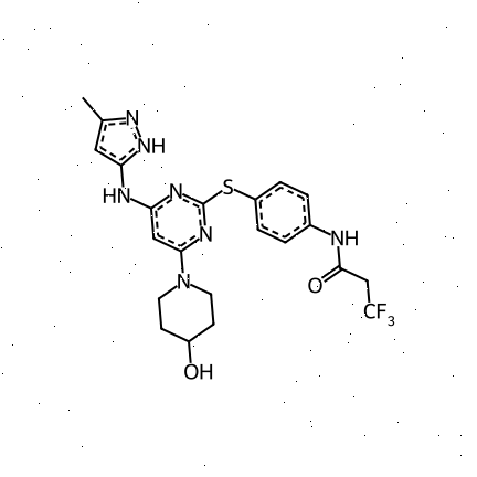 Cc1cc(Nc2cc(N3CCC(O)CC3)nc(Sc3ccc(NC(=O)CC(F)(F)F)cc3)n2)[nH]n1